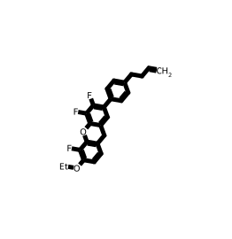 C=CCCc1ccc(-c2cc3c(c(F)c2F)Oc2c(ccc(OCC)c2F)C3)cc1